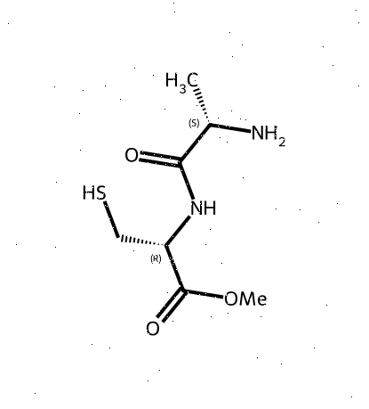 COC(=O)[C@H](CS)NC(=O)[C@H](C)N